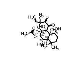 C=C[C@]1(C)O[C@]2(C)[C@@H](OC(C)=O)[C@@H](O)[C@H]3C(C)(C)CC[C@H](O)[C@]3(C)[C@]2(O)C(=O)C1=O